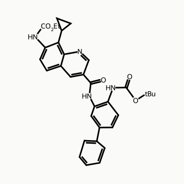 CCOC(=O)Nc1ccc2cc(C(=O)Nc3cc(-c4ccccc4)ccc3NC(=O)OC(C)(C)C)cnc2c1C1CC1